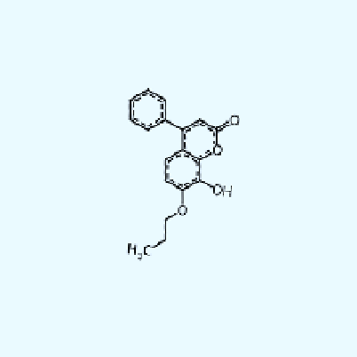 CCCOc1ccc2c(-c3ccccc3)cc(=O)oc2c1O